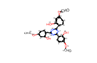 O=COc1ccc(-c2nc(-c3ccc(OC=O)cc3O)nc(-c3ccc(OC=O)cc3O)n2)c(O)c1